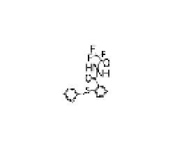 O=C(NNC(=O)C(F)(F)F)c1ccccc1SCc1ccccc1